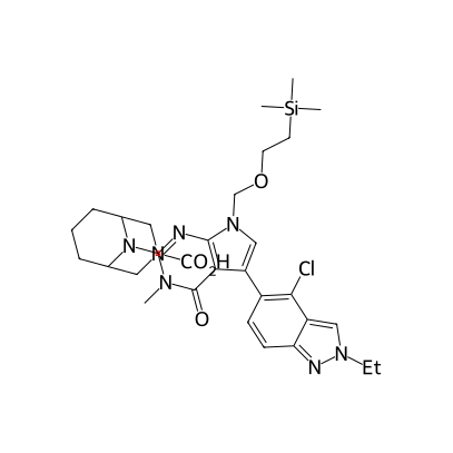 CCn1cc2c(Cl)c(-c3cn(COCC[Si](C)(C)C)c4nc(N5C6CCCC5CN(C(=O)O)C6)n(C)c(=O)c34)ccc2n1